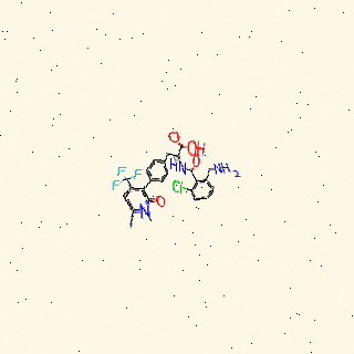 Cc1cc(C(F)(F)F)c(-c2ccc(C[C@H](NC(=O)c3c(Cl)cccc3CN)C(=O)O)cc2)c(=O)n1C